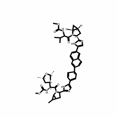 COC(=O)NC(C(=O)N1[C@@H]2C[C@@H]2C[C@H]1c1ncc(-c2ccc3cc(-c4ccc(-c5cnc(C6CC7C(C)C7N6C(=O)[C@@H](NC(=O)OC)[C@H]6C[C@@H](C)O[C@@H](C)C6)[nH]5)cc4)ccc3c2)[nH]1)C(C)C